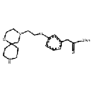 COC(=O)Cc1cccc(OCCN2CCOC3(CCNCC3)C2)c1